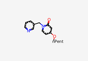 CCCCCOc1ccn(Cc2cccnc2)c(=O)c1